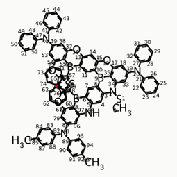 CSN1c2cc3c(cc2B2c4cc5c(cc4Oc4cc(N(c6ccccc6)c6ccccc6)cc1c42)Oc1cc(N(c2ccccc2)c2ccccc2)cc2c1B5c1sc4ccccc4c1O2)B1c2sc4ccccc4c2Oc2cc(N(c4ccc(C)cc4)c4ccc(C)cc4)cc(c21)N3